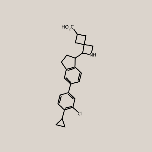 O=C(O)C1CC2(CNC2C2CCc3cc(-c4ccc(C5CC5)c(Cl)c4)ccc32)C1